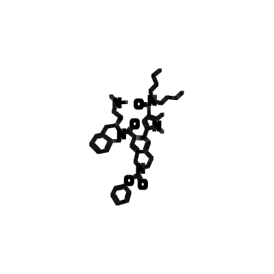 CCCCN(CCCC)C(=O)c1cc(-c2cc3c(cc2C(=O)N2Cc4ccccc4C[C@H]2CCN(C)C)CN(C(=O)Oc2ccccc2)CC3)n(C)c1C